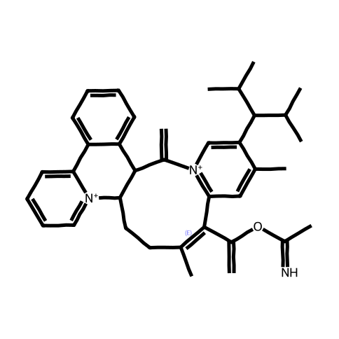 C=C(OC(C)=N)/C1=C(\C)CCC2C(C(=C)[n+]3cc(C(C(C)C)C(C)C)c(C)cc31)c1ccccc1-c1cccc[n+]12